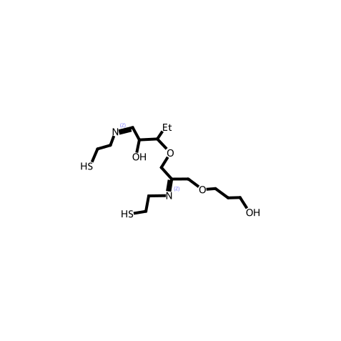 CCC(OC/C(COCCCO)=N\CCS)C(O)/C=N\CCS